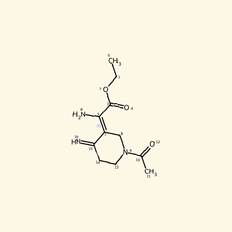 CCOC(=O)/C(N)=C1\CN(C(C)=O)CCC1=N